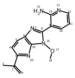 C=C(C)c1ccc2nc(-c3cccnc3N)n(OC)c2n1